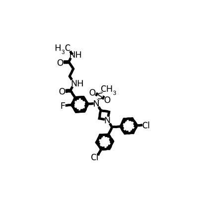 CNC(=O)CCNC(=O)c1cc(N(C2CN(C(c3ccc(Cl)cc3)c3ccc(Cl)cc3)C2)S(C)(=O)=O)ccc1F